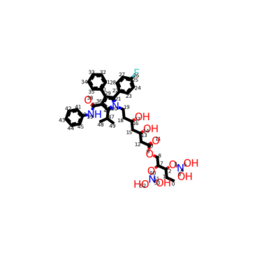 CCC(ON(O)O)C(COC(=O)CC(O)CC(O)CCn1c(-c2ccc(F)cc2)c(-c2ccccc2)c(C(=O)Nc2ccccc2)c1C(C)C)ON(O)O